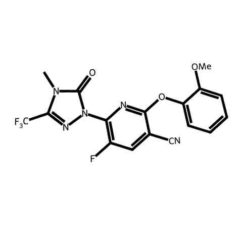 COc1ccccc1Oc1nc(-n2nc(C(F)(F)F)n(C)c2=O)c(F)cc1C#N